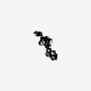 Cc1ccc(-n2ccc3cc(-c4nc(Cl)c(C(=O)NCCO[Si](C)(C)C(C)(C)C)c(Cl)n4)cc(C4CC4)c32)cn1